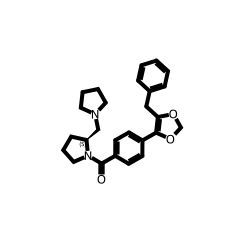 O=C(c1ccc(C2=C(Cc3ccccc3)OCO2)cc1)N1CCC[C@H]1CN1CCCC1